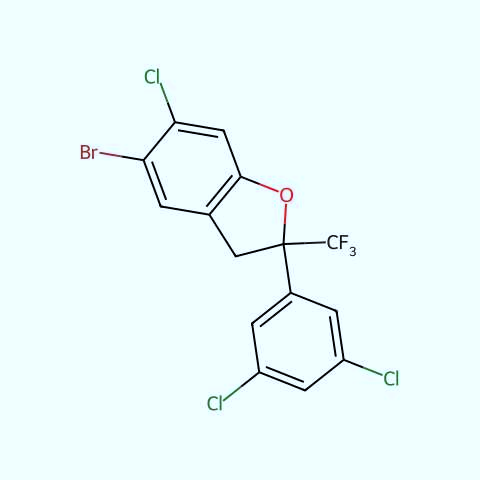 FC(F)(F)C1(c2cc(Cl)cc(Cl)c2)Cc2cc(Br)c(Cl)cc2O1